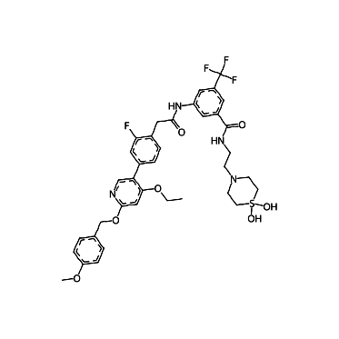 CCOc1cc(OCc2ccc(OC)cc2)ncc1-c1ccc(CC(=O)Nc2cc(C(=O)NCCN3CCS(O)(O)CC3)cc(C(F)(F)F)c2)c(F)c1